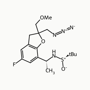 COCC1(CN=[N+]=[N-])Cc2cc(F)cc([C@@H](C)N[S@+]([O-])C(C)(C)C)c2O1